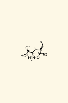 C/C=C(\CC(N)C(=O)O)C(=O)O